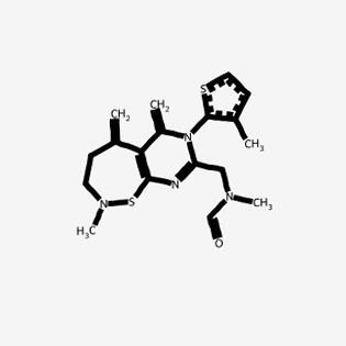 C=C1CCN(C)SC2=C1C(=C)N(c1sccc1C)C(CN(C)C=O)=N2